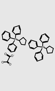 O=C([O-])C(=O)[O-].c1ccc([P+](c2ccccc2)(c2ccccc2)C2CCCC2)cc1.c1ccc([P+](c2ccccc2)(c2ccccc2)C2CCCC2)cc1